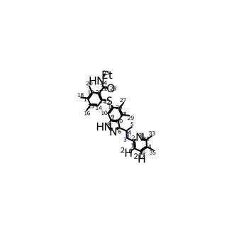 [2H]c1c(/C=C(\C)c2n[nH]c3cc(Sc4cc(C)c(C)c(C)c4C(=O)NCC)c(C)c(C)c23)nc(C)c(C)c1[2H]